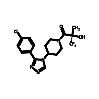 C[C@@](O)(C(=O)N1CCC(n2cnnc2-c2ccc(Cl)cc2)CC1)C(F)(F)F